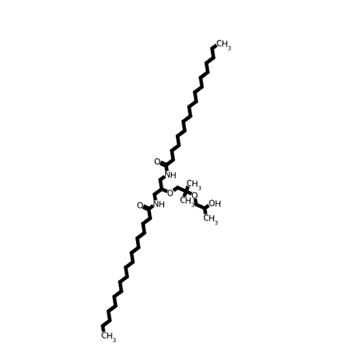 CCCCCCCCCCCCCCCCCC(=O)NCC(CNC(=O)CCCCCCCCCCCCCCCCC)OCC(C)(C)OCC(C)O